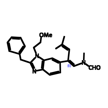 COCCn1c(Cc2ccccc2)nc2ccc(/C(C=C(C)C)=C/N(C)C=O)cc21